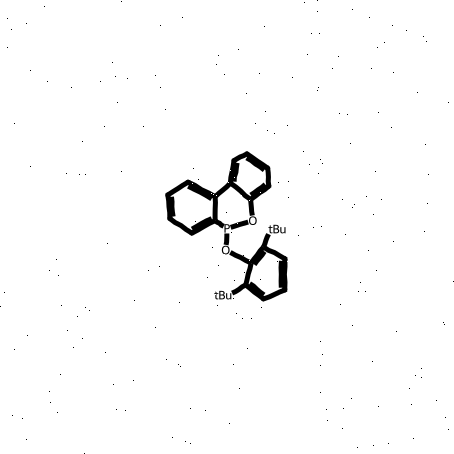 CC(C)(C)c1cccc(C(C)(C)C)c1OP1Oc2ccccc2-c2ccccc21